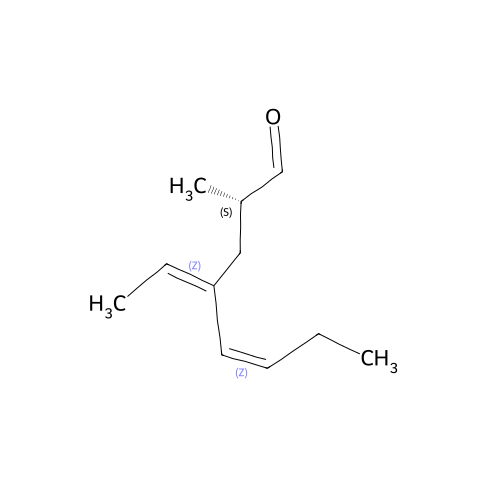 C/C=C(\C=C/CC)C[C@H](C)C=O